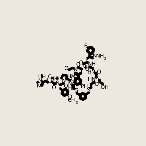 CN[C@@H](CCc1cnc[nH]1)C(=O)N[C@@H](Cc1ccc(OC)cc1)C(=O)N1CCCC1C(=O)NCCSCc1cccc(CSCCC(=O)N[C@@H](CCCO)C(=O)NCC(=O)N[C@@H](Cc2cn(N)c3ccc(F)cc23)C(=O)N[C@@H](Cc2c[nH]c3ccc(P)cc23)C(=O)NCC=O)c1